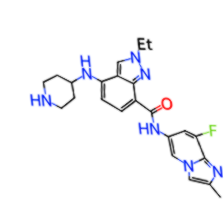 CCn1cc2c(NC3CCNCC3)ccc(C(=O)Nc3cc(F)c4nc(C)cn4c3)c2n1